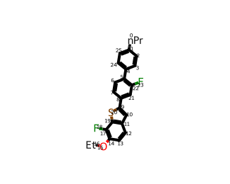 CCCc1ccc(-c2ccc(-c3cc4ccc(OCC)c(F)c4s3)cc2F)cc1